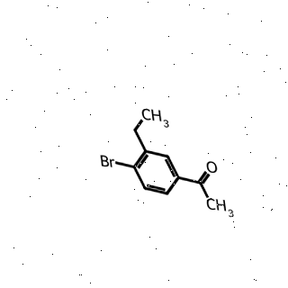 CCc1cc(C(C)=O)ccc1Br